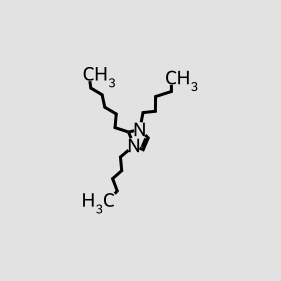 CCCCCCC1N(CCCCC)C=CN1CCCCC